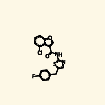 O=C(Nc1ncc(Cc2ccc(F)cc2)s1)c1coc2cccc(Cl)c12